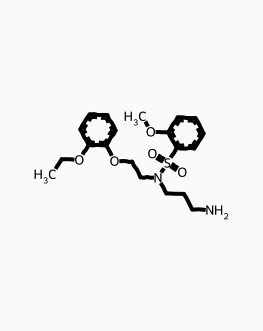 CCOc1ccccc1OCCN(CCCN)S(=O)(=O)c1ccccc1OC